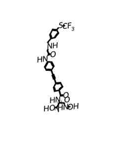 C[C@@H](O)[C@H](NC(=O)c1ccc(C#Cc2ccc(NC(=O)CNCc3ccc(SC(F)(F)F)cc3)cc2)cc1)C(=O)NO